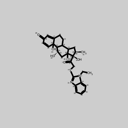 CCn1c(SCC(=O)[C@@]2(O)[C@H](C)CC3C4CCC5=CC(=O)C=CC5(C)C4[C@@H](O)CC32C)nc2ccccc21